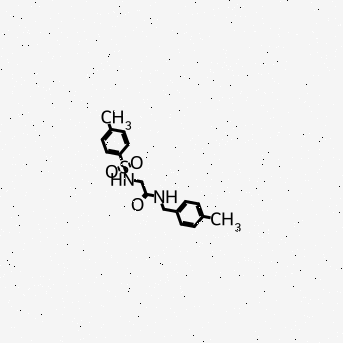 Cc1ccc(CNC(=O)CNS(=O)(=O)c2ccc(C)cc2)cc1